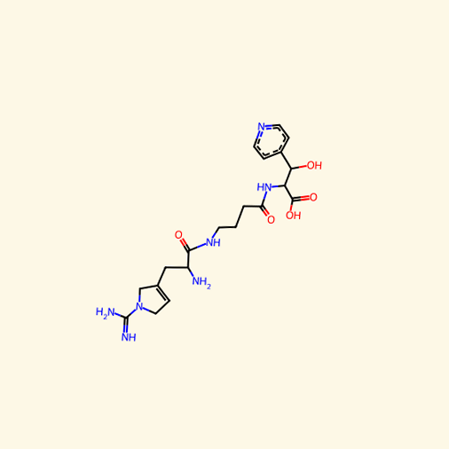 N=C(N)N1CC=C(CC(N)C(=O)NCCCC(=O)NC(C(=O)O)C(O)c2ccncc2)C1